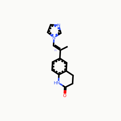 C/C(=C\n1ccnc1)c1ccc2c(c1)CCC(=O)N2